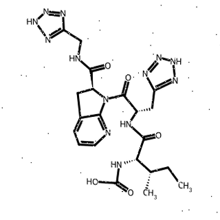 CC[C@H](C)[C@H](NC(=O)O)C(=O)N[C@@H](Cc1nn[nH]n1)C(=O)N1c2ncccc2C[C@H]1C(=O)NCc1nn[nH]n1